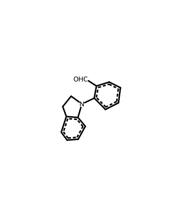 O=Cc1ccccc1N1CCc2ccccc21